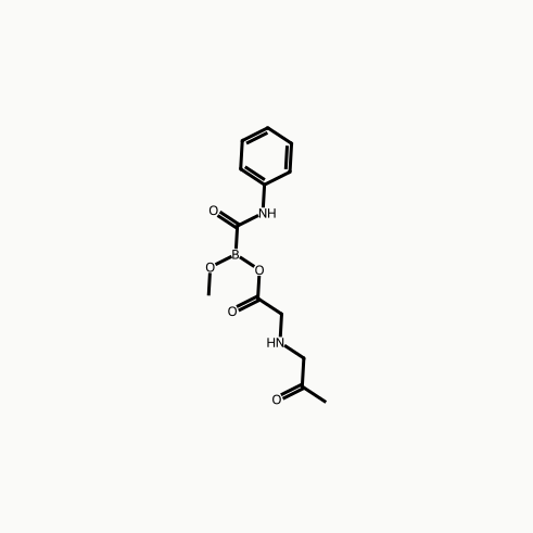 COB(OC(=O)CNCC(C)=O)C(=O)Nc1ccccc1